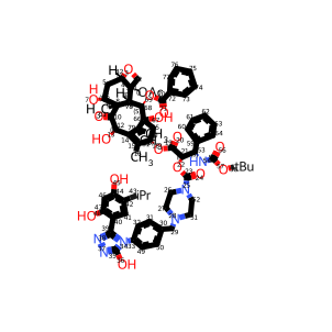 CC(=O)O[C@@]12CO[C@@H]1C[C@H](O)[C@@]1(C)C(=O)[C@H](O)C3=C(C)[C@@H](OC(=O)[C@H](OC(=O)N4CCN(Cc5ccc(-n6c(O)nnc6-c6cc(C(C)C)c(O)cc6O)cc5)CC4)[C@@H](NC(=O)OC(C)(C)C)c4ccccc4)CC(O)([C@@H](OC(=O)c4ccccc4)[C@H]21)C3(C)C